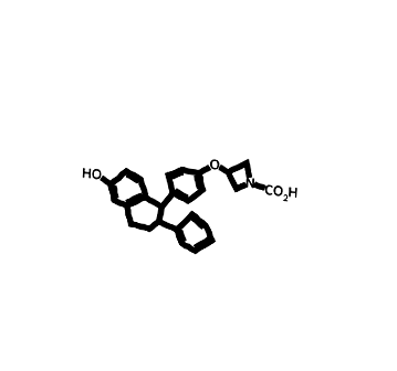 O=C(O)N1CC(Oc2ccc(C3c4ccc(O)cc4CCC3c3ccccc3)cc2)C1